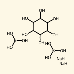 OB(O)O.OB(O)O.OC1C(O)C(O)C(O)C(O)C1O.[NaH].[NaH]